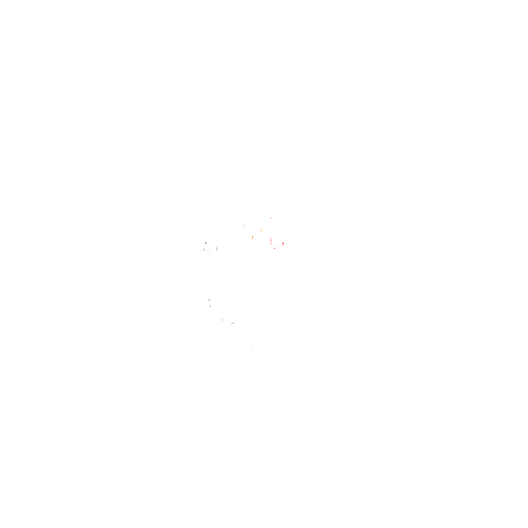 CC(=O)/C(=C\c1cccc([N+](=O)[O-])c1)P(=O)(OC1CCCC1)OC1CCCC1